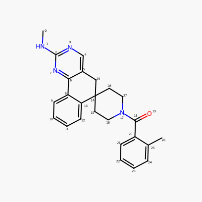 CNc1ncc2c(n1)-c1ccccc1C1(CCN(C(=O)c3ccccc3C)CC1)C2